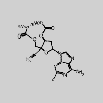 C#CC1(COC(=O)CCCCCCCCC)OC(n2cnc3c(N)nc(F)nc32)CC1OC(=O)CCCCCCCCC